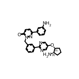 Nc1cccc(-c2ccc(=O)n(Cc3cccc(-c4ncc(O[C@H]5CCC[C@H]5N)cn4)c3)n2)c1